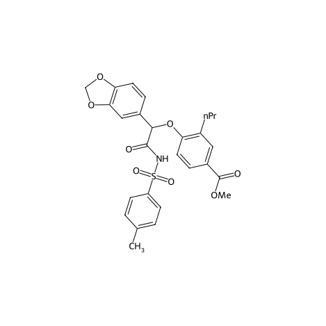 CCCc1cc(C(=O)OC)ccc1OC(C(=O)NS(=O)(=O)c1ccc(C)cc1)c1ccc2c(c1)OCO2